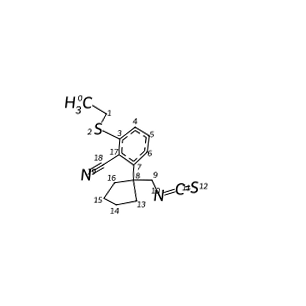 CCSc1cccc(C2(CN=C=S)CCCC2)c1C#N